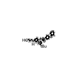 CC(C)(C)c1cc(NC(=O)Nc2ccc(Oc3ccncc3)cc2)n(-c2cccc(NCCCO)c2)n1